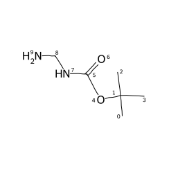 CC(C)(C)OC(=O)NCN